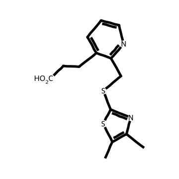 Cc1nc(SCc2ncccc2CCC(=O)O)sc1C